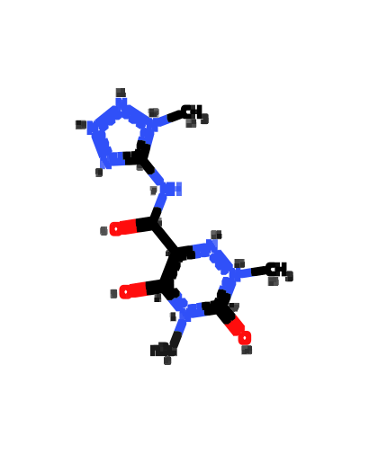 CCCCn1c(=O)c(C(=O)Nc2nnnn2C)nn(C)c1=O